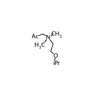 CC(=O)C[N+](C)(C)CCOC(C)C